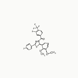 COc1cccc(C2SC(c3ccc(F)cc3)=NN2C(=O)c2ccc(C(F)(F)F)c(F)c2)c1OC